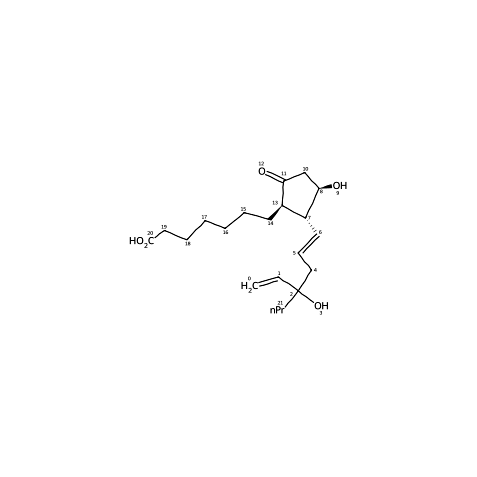 C=CC(O)(CC=C[C@H]1[C@H](O)CC(=O)[C@@H]1CCCCCCC(=O)O)CCC